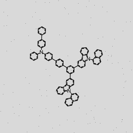 c1ccc(-c2ccc(N(c3ccccc3)c3ccc(-c4ccc(-c5cc(-c6ccc7c(c6)c6ccccc6n7-c6cccc7ccccc67)cc(-c6ccc7c(c6)c6ccccc6n7-c6cccc7ccccc67)c5)cc4)cc3)cc2)cc1